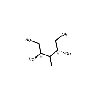 CC([C@@H](O)CO)[C@@H](O)CO